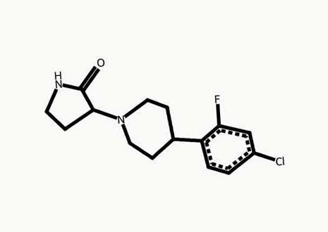 O=C1NCCC1N1CCC(c2ccc(Cl)cc2F)CC1